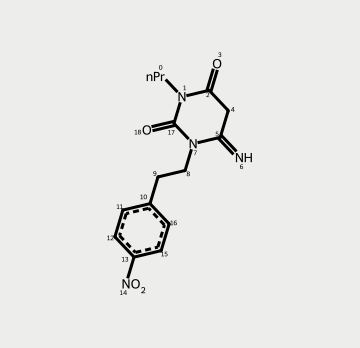 CCCN1C(=O)CC(=N)N(CCc2ccc([N+](=O)[O-])cc2)C1=O